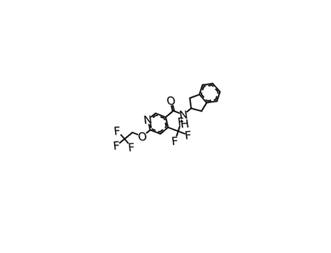 O=C(NC1Cc2ccccc2C1)c1cnc(OCC(F)(F)F)cc1C(F)(F)F